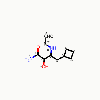 NC(=O)C(O)C(CC1CCC1)NBC=O